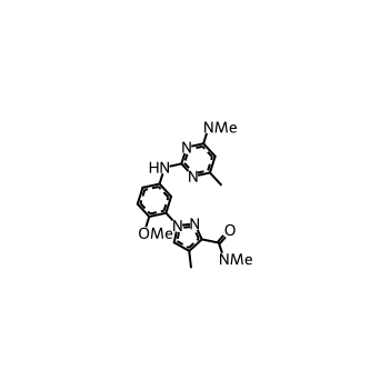 CNC(=O)c1nn(-c2cc(Nc3nc(C)cc(NC)n3)ccc2OC)cc1C